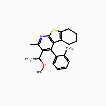 COc1ccccc1-c1c(C(OC(C)(C)C)C(=O)O)c(C)nc2sc3c(c12)CCCC3